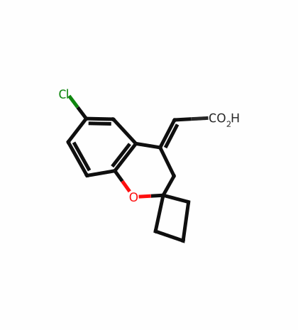 O=C(O)C=C1CC2(CCC2)Oc2ccc(Cl)cc21